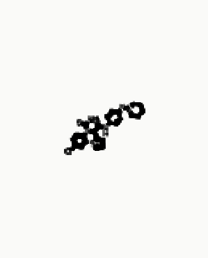 NC(=O)N(c1ccc(Cl)cc1)C(C(=O)NC1C=CC(=NN2CCCCC2)C=C1)c1cccs1